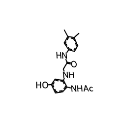 CC(=O)Nc1ccc(O)cc1NCC(=O)Nc1ccc(C)c(C)c1